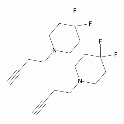 C#CCCN1CCC(F)(F)CC1.C#CCCN1CCC(F)(F)CC1